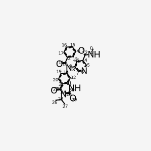 CNC(=O)c1cncc(N(C(=O)c2ccccc2)c2ccc3c(=O)n(C(C)C)c(=O)[nH]c3c2)c1